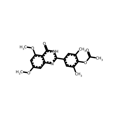 COc1cc(OC)c2c(=O)[nH]c(-c3cc(C)c(OC(C)=O)c(C)c3)nc2c1